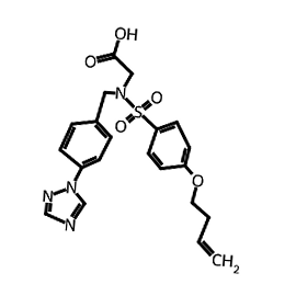 C=CCCOc1ccc(S(=O)(=O)N(CC(=O)O)Cc2ccc(-n3cncn3)cc2)cc1